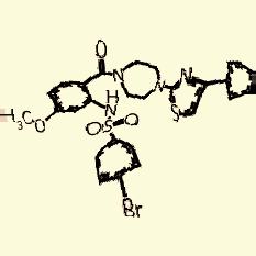 COc1ccc(C(=O)N2CCN(c3nc(-c4ccccc4)cs3)CC2)c(NS(=O)(=O)c2ccc(Br)cc2)c1